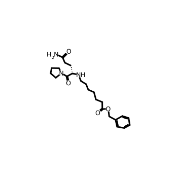 NC(=O)CC[C@H](NCCCCCCC(=O)OCc1ccccc1)C(=O)N1CCCC1